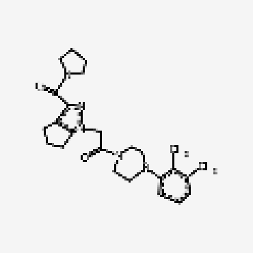 Cc1cccc(N2CCN(C(=O)Cn3nc(C(=O)N4CCCC4)c4c3CCC4)CC2)c1C